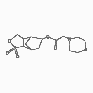 O=C(CN1CCSCC1)OC1CC2CC1C1COS(=O)(=O)C21